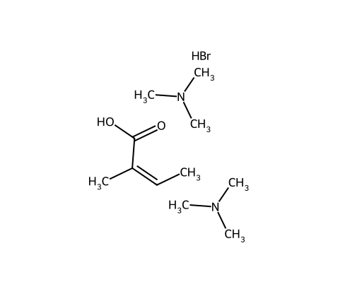 Br.CC=C(C)C(=O)O.CN(C)C.CN(C)C